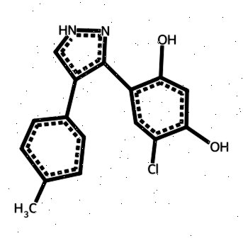 Cc1ccc(-c2c[nH]nc2-c2cc(Cl)c(O)cc2O)cc1